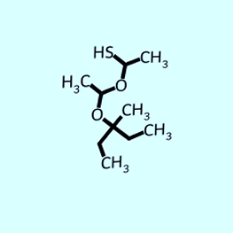 CCC(C)(CC)OC(C)OC(C)S